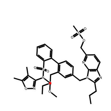 CCCc1nc2ccc(COS(C)(=O)=O)nc2n1Cc1ccc(-c2ccccc2S(=O)(=O)N(COC)c2noc(C)c2C)c(COCC)c1